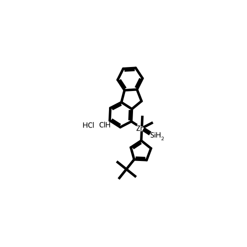 CC(C)(C)C1=CC[C]([Zr]([CH3])([CH3])(=[SiH2])[c]2cccc3c2Cc2ccccc2-3)=C1.Cl.Cl